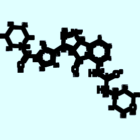 O=C(Nc1cccc2c1C(=O)C1=C(c3ccc(C(=O)N4CCCCC4)s3)N=NC12)NN1CCOCC1